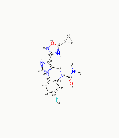 CN(C)C(=O)N1Cc2c(-c3noc(C4CC4)n3)ncn2-c2ccc(F)cc21